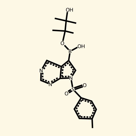 Cc1ccc(S(=O)(=O)n2cc(B(O)OC(C)(C)C(C)(C)O)c3cncnc32)cc1